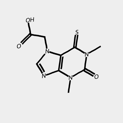 Cn1c(=S)c2c(ncn2CC(=O)O)n(C)c1=O